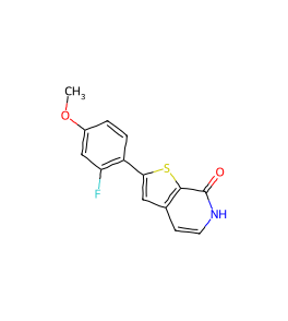 COc1ccc(-c2cc3cc[nH]c(=O)c3s2)c(F)c1